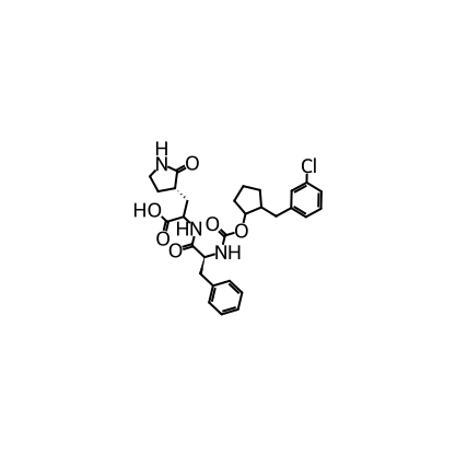 O=C(N[C@@H](Cc1ccccc1)C(=O)NC(C[C@@H]1CCNC1=O)C(=O)O)OC1CCCC1Cc1cccc(Cl)c1